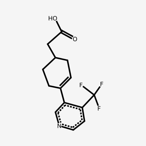 O=C(O)CC1CC=C(c2cnccc2C(F)(F)F)CC1